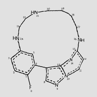 Fc1ccc2cc1-c1cnn3ccc(nc13)NCCCCNCCN2